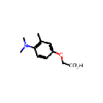 Cc1cc(OCC(=O)O)ccc1N(C)C